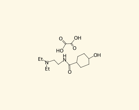 CCN(CC)CCNC(=O)C1CCC(O)CC1.O=C(O)C(=O)O